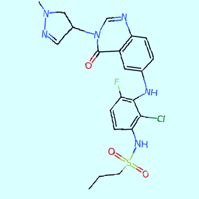 CCCS(=O)(=O)Nc1ccc(F)c(Nc2ccc3ncn(C4C=NN(C)C4)c(=O)c3c2)c1Cl